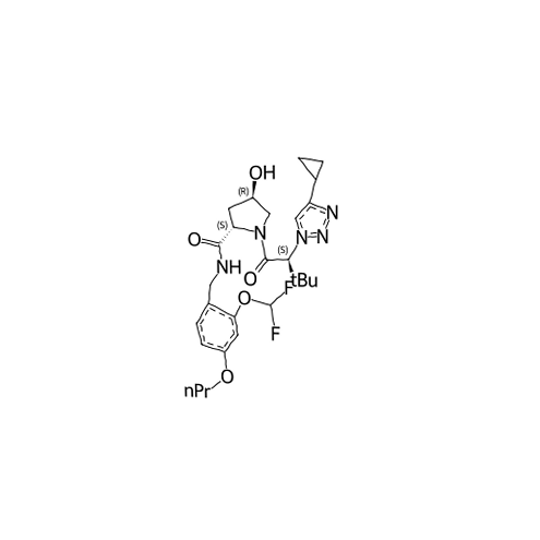 CCCOc1ccc(CNC(=O)[C@@H]2C[C@@H](O)CN2C(=O)[C@@H](n2cc(C3CC3)nn2)C(C)(C)C)c(OC(F)F)c1